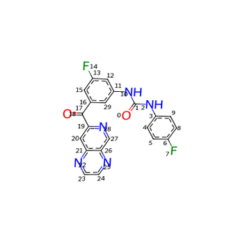 O=C(Nc1ccc(F)cc1)Nc1cc(F)cc(C(=O)c2cc3nccnc3cn2)c1